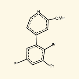 COc1cc(-c2cc(F)cc(C(C)C)c2Br)ccn1